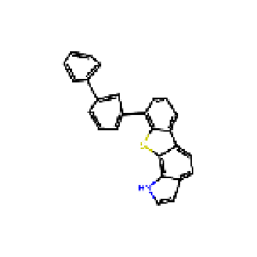 c1ccc(-c2cccc(-c3cccc4c3sc3c4ccc4cc[nH]c43)c2)cc1